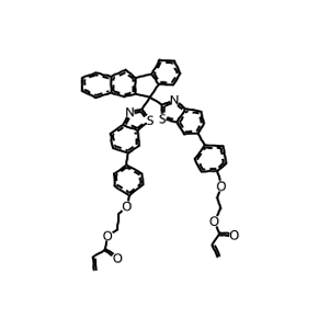 C=CC(=O)OCCOc1ccc(-c2ccc3nc(C4(c5nc6ccc(-c7ccc(OCCOC(=O)C=C)cc7)cc6s5)c5ccccc5-c5cc6ccccc6cc54)sc3c2)cc1